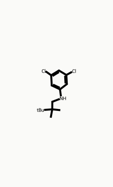 CC(C)(C)C(C)(C)CNc1cc(Cl)cc(Cl)c1